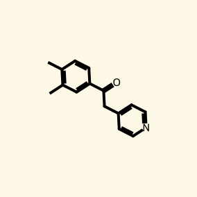 Cc1ccc(C(=O)Cc2ccncc2)cc1C